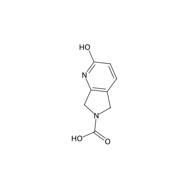 O=C(O)N1Cc2ccc(O)nc2C1